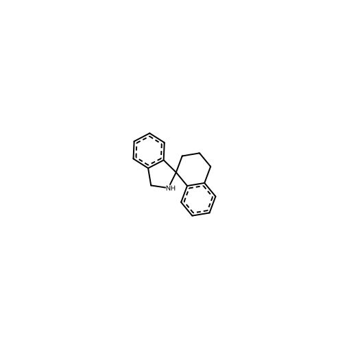 c1ccc2c(c1)CCCC21NCc2ccccc21